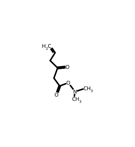 C=CCC(=O)CC(=O)ON(C)C